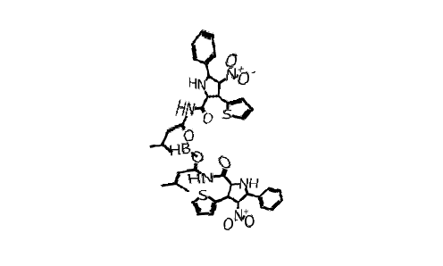 CC(C)CC(NC(=O)C1NC(c2ccccc2)C([N+](=O)[O-])C1c1cccs1)OBOC(CC(C)C)NC(=O)C1NC(c2ccccc2)C([N+](=O)[O-])C1c1cccs1